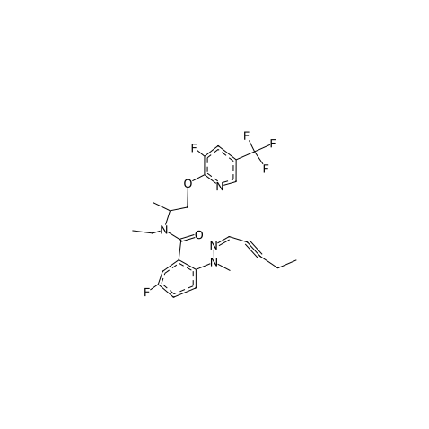 CCC#C/C=N\N(C)c1ccc(F)cc1C(=O)N(CC)C(C)COc1ncc(C(F)(F)F)cc1F